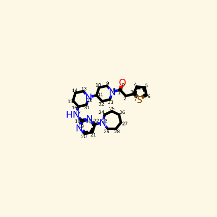 O=C(Cc1cccs1)N1CCC(N2CCCC(Nc3nccc(N4CCCCCC4)n3)C2)CC1